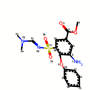 COC(=O)c1cc(N)c(Oc2ccccc2)c(S(=O)(=O)/N=C/N(C)C)c1